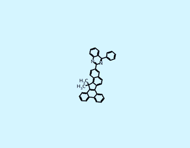 CC1(C)c2c(ccc3cc(-c4nc(-c5ccccc5)c5ccccc5n4)ccc23)-c2c1c1ccccc1c1ccccc21